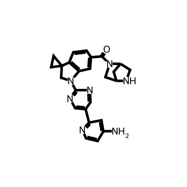 Nc1ccnc(-c2cnc(N3CC4(CC4)c4ccc(C(=O)N5CC6CC5CN6)cc43)nc2)c1